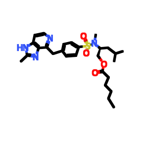 CCCCCC(=O)OC[C@H](CC(C)C)N(C)S(=O)(=O)c1ccc(Cc2nccc3[nH]c(C)nc23)cc1